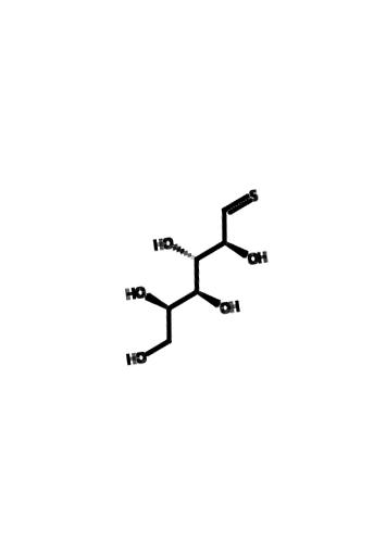 OC[C@@H](O)[C@H](O)[C@H](O)[C@H](O)C=S